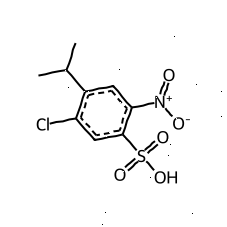 CC(C)c1cc([N+](=O)[O-])c(S(=O)(=O)O)cc1Cl